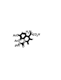 CC(=O)Oc1ccc(C(C(C)C(C)OC(=O)OC(C)C)[C@H](N)C(=O)O)cc1OC(C)=O